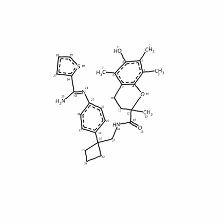 Cc1c(C)c2c(c(C)c1O)CCC(C)(C(=O)NCC1(c3ccc(/N=C(\N)c4cccs4)cc3)CCC1)O2